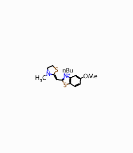 CCCC[n+]1c(C=C2SCCN2C)sc2ccc(OC)cc21